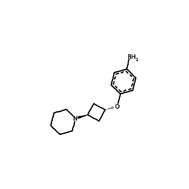 Bc1ccc(O[C@H]2C[C@H](N3CCCCC3)C2)cc1